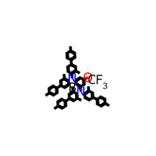 Cc1ccc(-c2ccc(N3c4cc(OC(F)(F)F)cc5c4B(c4cc(-c6ccc(C)cc6)cc(C)c43)c3cc(-c4ccc(C)cc4)cc(C)c3N5c3ccc(-c4ccc(C)cc4)cc3C)c(C)c2)cc1